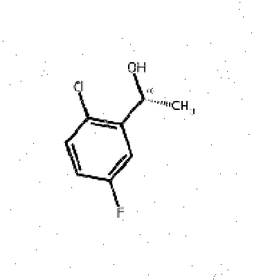 C[C@@H](O)c1cc(F)ccc1Cl